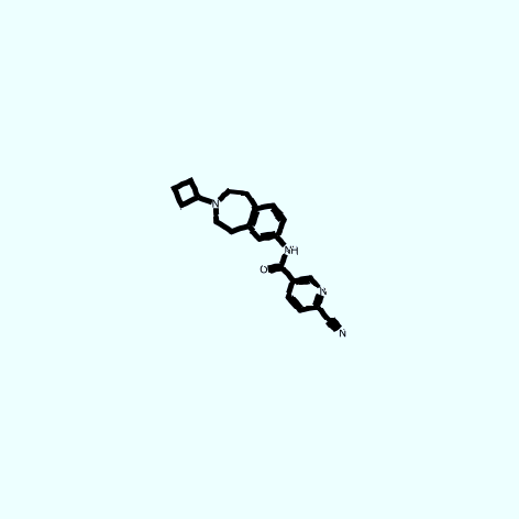 N#Cc1ccc(C(=O)Nc2ccc3c(c2)CCN(C2CCC2)CC3)cn1